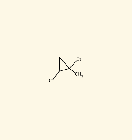 CCC1(C)CC1Cl